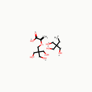 C=C(OCC(CO)(CO)CO)C(=O)O.CCC(CO)(CO)CO